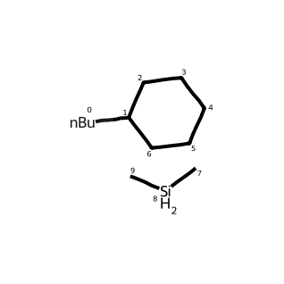 CCCCC1CCCCC1.C[SiH2]C